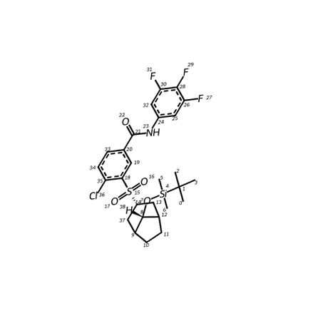 CC(C)(C)[Si](C)(C)O[C@H]1C2CCC1C[C@@H](S(=O)(=O)c1cc(C(=O)Nc3cc(F)c(F)c(F)c3)ccc1Cl)C2